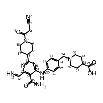 N#CCC(=O)N1CCC(c2nc(C=N)c(C(N)=O)c(Nc3ccc(CN4CCC(C(=O)O)CC4)cc3)n2)CC1